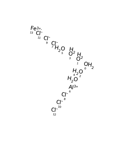 O.O.O.O.O.O.[Al+3].[Cl-].[Cl-].[Cl-].[Cl-].[Cl-].[Cl-].[Fe+3]